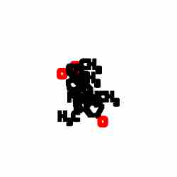 CC(=O)O[C@]1(C(C)=O)CC[C@H]2[C@@H]3C[C@H](C)C4=CC(=O)C[C@H](C)[C@@H]4[C@H]3CC[C@@]21C